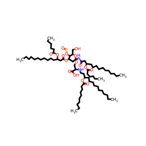 CCCCCCCCCCCC(CCNC(COC1(NC(=O)CC(CCCCCCCCCCC)OC(=O)CCCCC)CC(OC(=O)CC(CCCCCCCCCCC)OC(=O)CCCCC)C(OP=O)C(CO)O1)C(=O)O)OC(=O)CCCCCCCCC